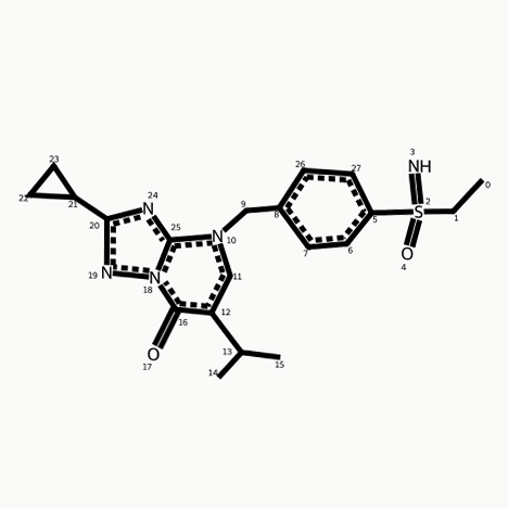 CCS(=N)(=O)c1ccc(Cn2cc(C(C)C)c(=O)n3nc(C4CC4)nc23)cc1